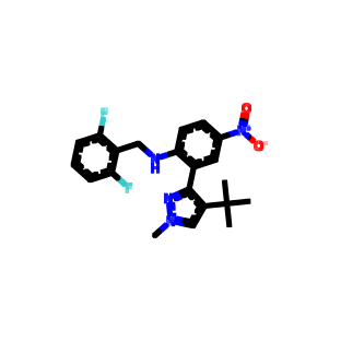 Cn1cc(C(C)(C)C)c(-c2cc([N+](=O)[O-])ccc2NCc2c(F)cccc2F)n1